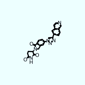 O=C1CCC(N2Cc3cc(-n4cc(-c5ccc6cnccc6c5)nn4)ccc3C2=O)C(=O)N1